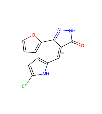 O=C1NN=C(c2ccco2)/C1=C\c1ccc(Cl)[nH]1